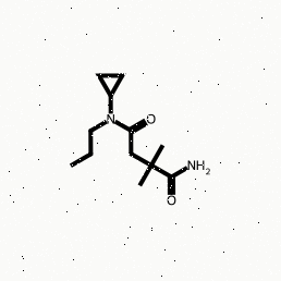 CCCN(C(=O)CC(C)(C)C(N)=O)C1CC1